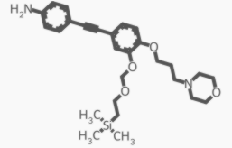 C[Si](C)(C)CCOCOc1cc(C#Cc2ccc(N)cc2)ccc1OCCCN1CCOCC1